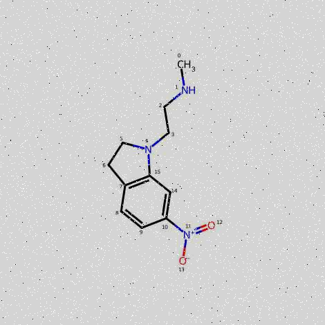 CNCCN1CCc2ccc([N+](=O)[O-])cc21